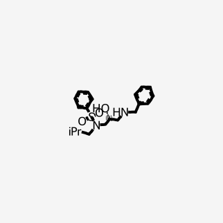 CC(C)CN(C[C@H](O)CNCc1ccccc1)S(=O)(=O)c1ccccc1